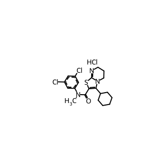 CN(C(=O)C1=C(C2CCCCC2)N2CCCN=C2S1)c1cc(Cl)cc(Cl)c1.Cl